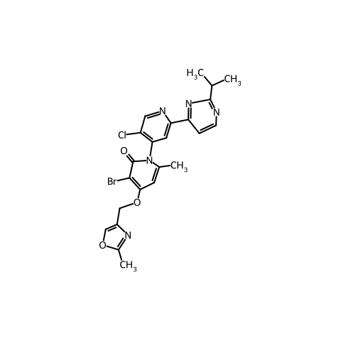 Cc1nc(COc2cc(C)n(-c3cc(-c4ccnc(C(C)C)n4)ncc3Cl)c(=O)c2Br)co1